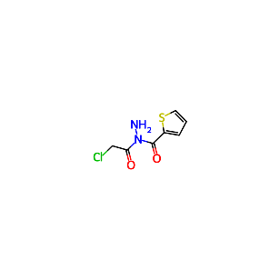 NN(C(=O)CCl)C(=O)c1cccs1